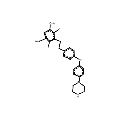 COc1cc(OC)c(F)c(CCc2cnc(Nc3ccc(N4CCNCC4)cc3)nc2)c1F